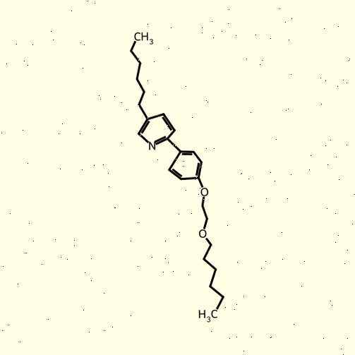 CCCCCCOCCOc1ccc(-c2ccc(CCCCCC)cn2)cc1